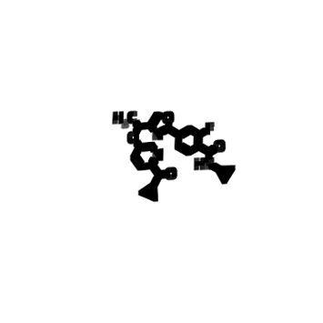 CC(Oc1ccc(C(=O)C2CC2)nc1)c1coc(-c2ccc(C(=O)NC3CC3)c(F)c2)n1